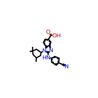 CC1CC(n2c(Nc3ccc(C#N)cc3)nc3cc(C(=O)O)ccc32)CC(C)(C)C1